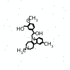 COc1ccc(C(O)Cn2c3c(c4cc(C)ccc42)CCN(C)CC3)cc1CO